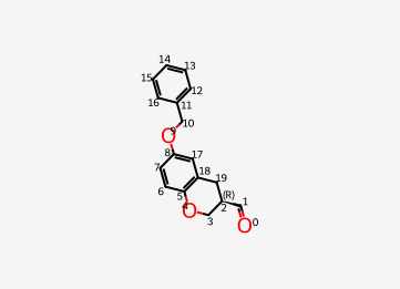 O=C[C@H]1COc2ccc(OCc3ccccc3)cc2C1